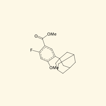 COC(=O)c1cc(C23CC4CC(CC(C4)C2)C3)c(OC)cc1F